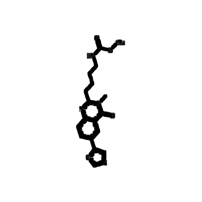 Cn1c(CCCCNC(=O)OC(C)(C)C)nc2ccc(-c3cnco3)cc2c1=O